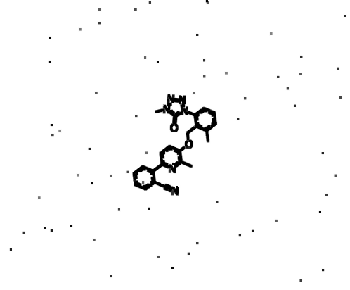 Cc1cccc(-n2nnn(C)c2=O)c1COc1ccc(-c2ccccc2C#N)nc1C